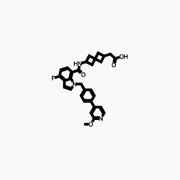 COc1cc(-c2ccc(Cn3ccc4c(F)ccc(C(=O)NC5CC6(CC(CC(=O)O)C6)C5)c43)cc2)ccn1